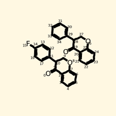 O=C1c2ccccc2OCC1c1ccc(F)cc1.O=C1c2ccccc2OCC1c1ccccc1